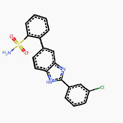 NS(=O)(=O)c1ccccc1-c1ccc2[nH]c(-c3cccc(Cl)c3)nc2c1